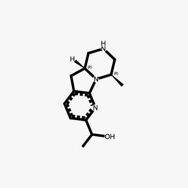 CC(O)c1ccc2c(n1)N1[C@@H](CNC[C@H]1C)C2